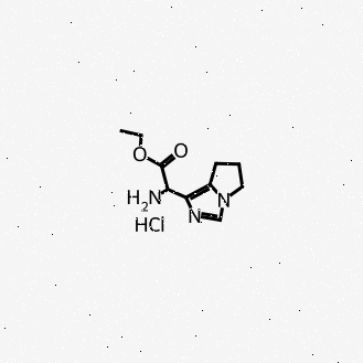 CCOC(=O)C(N)c1ncn2c1CCC2.Cl